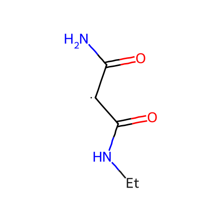 CCNC(=O)[CH]C(N)=O